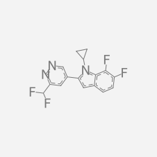 Fc1ccc2cc(-c3cnnc(C(F)F)c3)n(C3CC3)c2c1F